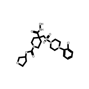 O=C(OC1CCOC1)N1CCC(CS(=O)(=O)N2CCN(c3ccccc3Cl)CC2)(C(=O)NO)CC1